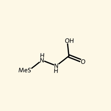 CSNNC(=O)O